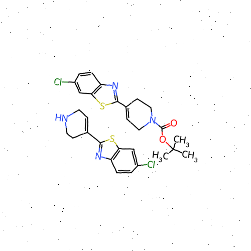 CC(C)(C)OC(=O)N1CC=C(c2nc3ccc(Cl)cc3s2)CC1.Clc1ccc2nc(C3=CCNCC3)sc2c1